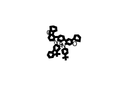 CC(C)(C)c1ccc(N2B3c4cc5c(cc4-n4c6ccc7oc8ccccc8c7c6c6ccc(c3c64)-c3cc4c(cc32)oc2ccccc24)-c2ccccc2C5(C)C)cc1